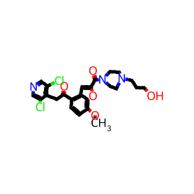 COc1ccc(C(=O)Cc2c(Cl)cncc2Cl)c2cc(C(=O)N3CCN(CCCO)CC3)oc12